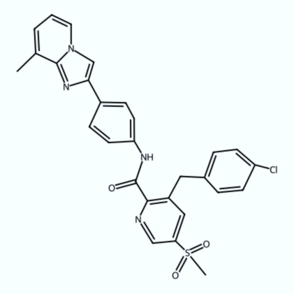 Cc1cccn2cc(-c3ccc(NC(=O)c4ncc(S(C)(=O)=O)cc4Cc4ccc(Cl)cc4)cc3)nc12